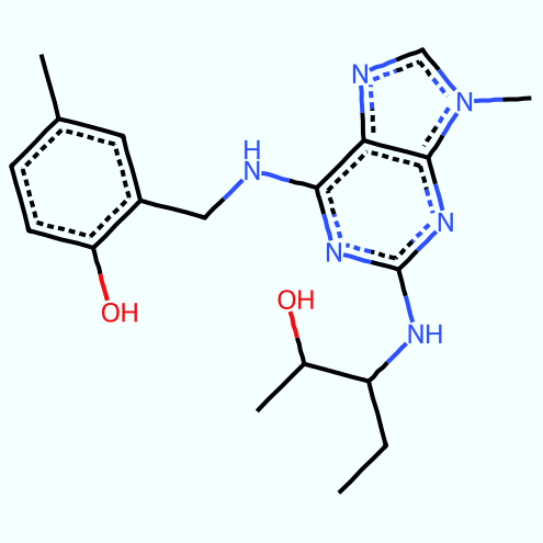 CCC(Nc1nc(NCc2cc(C)ccc2O)c2ncn(C)c2n1)C(C)O